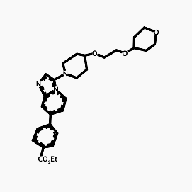 CCOC(=O)c1ccc(-c2ccn3c(N4CCC(OCCOC5CCOCC5)CC4)cnc3c2)cc1